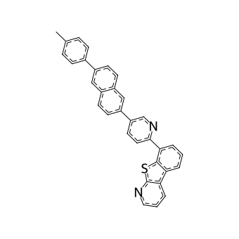 Cc1ccc(-c2ccc3cc(-c4ccc(-c5cccc6c5sc5ncccc56)nc4)ccc3c2)cc1